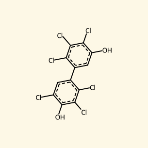 Oc1cc(-c2cc(Cl)c(O)c(Cl)c2Cl)c(Cl)c(Cl)c1Cl